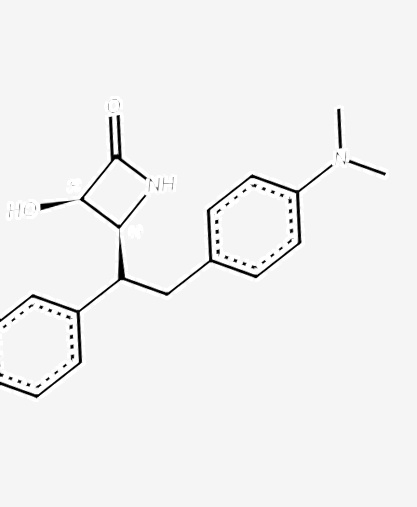 CN(C)c1ccc(CC(c2ccccc2)[C@@H]2NC(=O)[C@@H]2O)cc1